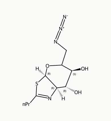 CCCC1=N[C@@H]2[C@@H](O)[C@H](O)C(CN=[N+]=[N-])O[C@@H]2S1